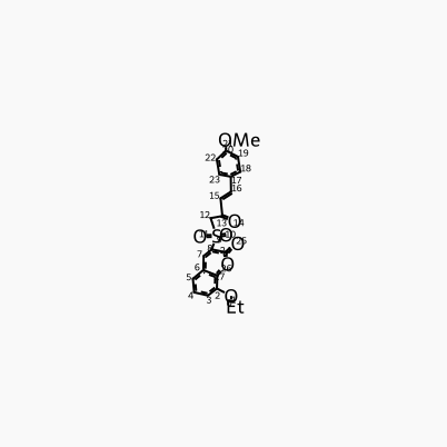 CCOc1cccc2cc(S(=O)(=O)CC(=O)/C=C/c3ccc(OC)cc3)c(=O)oc12